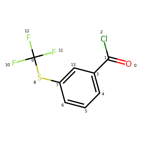 O=C(Cl)c1cccc(SC(F)(F)F)c1